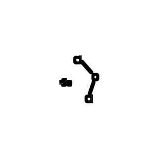 ClOCl.[Se]